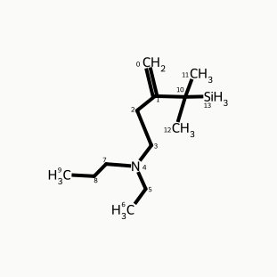 C=C(CCN(CC)CCC)C(C)(C)[SiH3]